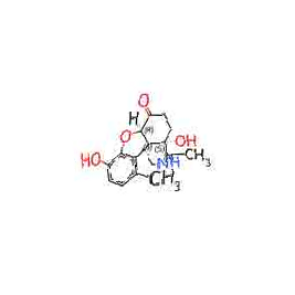 Cc1ccc(O)c2c1[C@]13CCN[C@H](C)[C@]1(O)CCC(=O)[C@@H]3O2